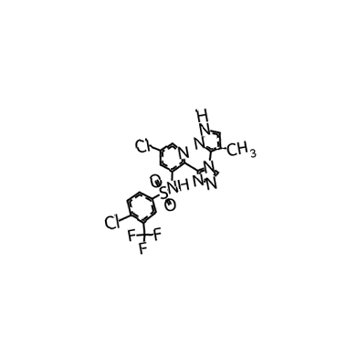 Cc1c[nH]nc1-n1cnnc1-c1ncc(Cl)cc1NS(=O)(=O)c1ccc(Cl)c(C(F)(F)F)c1